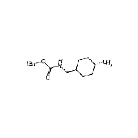 CC(C)(C)OC(=O)NC[C@H]1CC[C@H](C)CC1